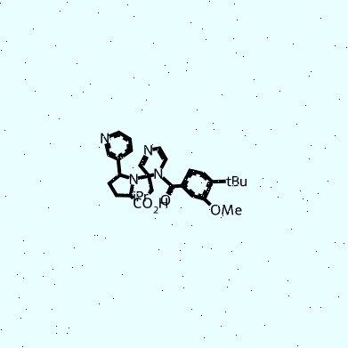 COc1cc(C(=O)N2C=CN=CC2(CC(C)C)N2C(C(=O)O)CCC2c2cccnc2)ccc1C(C)(C)C